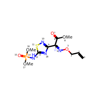 C=CCO/N=C(\C(=O)OC)c1nsc(NP(=O)(OC)OC)n1